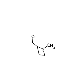 CN1CCC1C[O]